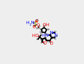 CC(C)(O)c1coc(C(=O)c2cncnc2N[C@@H]2C[C@H](COS(N)(=O)=O)[C@@H](O)C2)c1